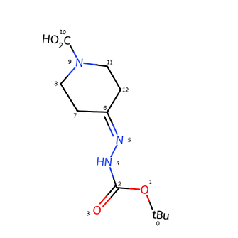 CC(C)(C)OC(=O)NN=C1CCN(C(=O)O)CC1